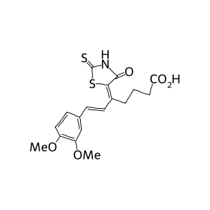 COc1ccc(C=CC(CCCC(=O)O)=C2SC(=S)NC2=O)cc1OC